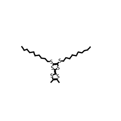 CCCCCCCCCCSC1=C(SCCCCCCCCCC)SC(=C2SC(C)=C(C)S2)S1